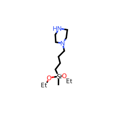 CCO[Si](C)(CCCCN1CCNCC1)OCC